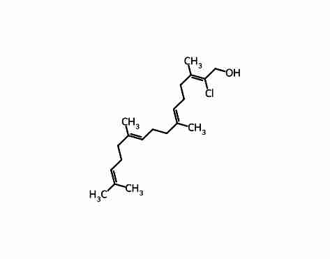 CC(C)=CCCC(C)=CCCC(C)=CCCC(C)=C(Cl)CO